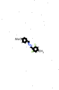 COc1ccc(C=NN=Cc2c(F)cc(C)cc2F)cc1